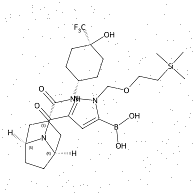 C[Si](C)(C)CCOCn1nc(C(=O)N2[C@@H]3CC[C@H]2C[C@H](C(=O)N[C@H]2CC[C@@](O)(C(F)(F)F)CC2)C3)cc1B(O)O